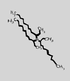 CCCCCCCCCC(CC)P(C(CC)CCCCCCCCC)C(CC)CCCCCCCCC